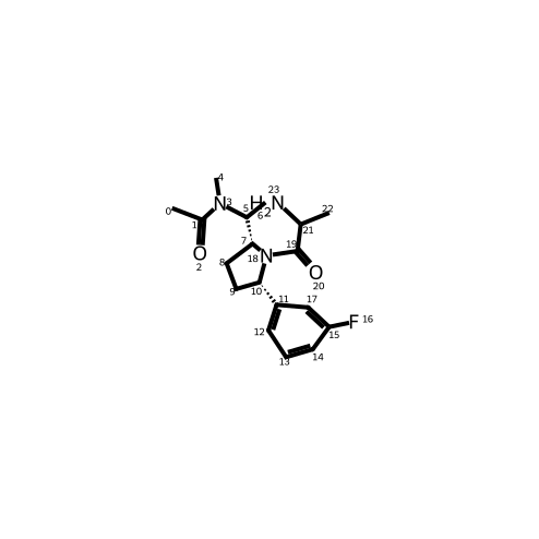 CC(=O)N(C)C(C)[C@H]1CC[C@@H](c2cccc(F)c2)N1C(=O)C(C)N